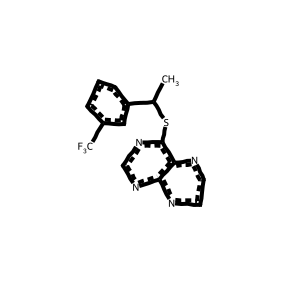 CC(Sc1ncnc2nccnc12)c1cccc(C(F)(F)F)c1